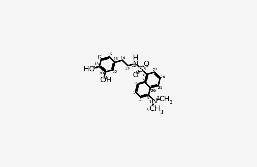 CN(C)c1cccc2c(S(=O)(=O)NCCc3ccc(O)c(O)c3)cccc12